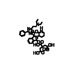 CCN(CC)CCc1nc(-c2ccccc2)no1.O=C(O)CC(O)(CC(=O)O)C(=O)O.O=C1NCCCC1N1C(=O)c2ccccc2C1=O